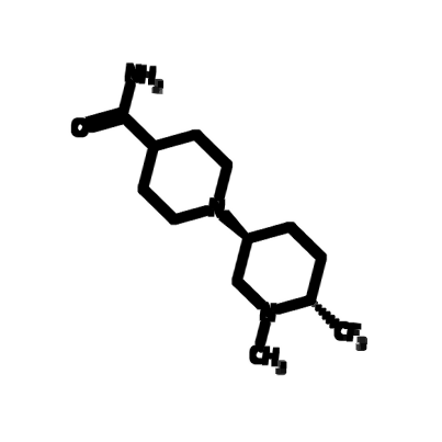 CN1C[C@@H](N2CCC(C(N)=O)CC2)CC[C@@H]1C(F)(F)F